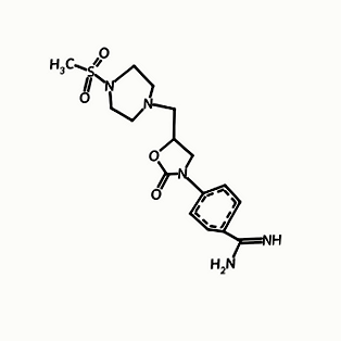 CS(=O)(=O)N1CCN(CC2CN(c3ccc(C(=N)N)cc3)C(=O)O2)CC1